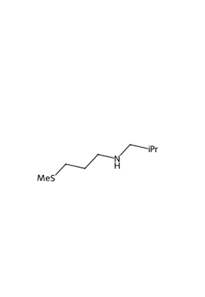 CSCCCNCC(C)C